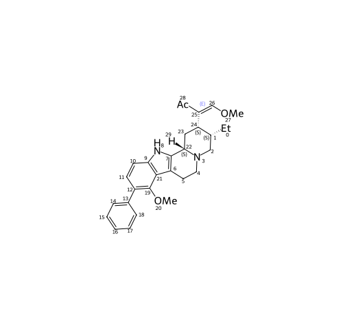 CC[C@@H]1CN2CCc3c([nH]c4ccc(-c5ccccc5)c(OC)c34)[C@@H]2C[C@@H]1/C(=C\OC)C(C)=O